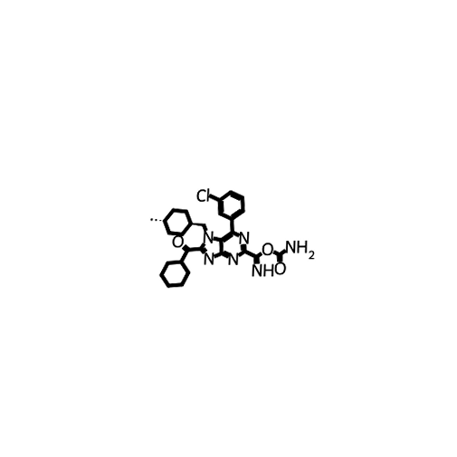 C[C@H]1CC[C@H](Cn2c(C(=O)C3CCCCC3)nc3nc(C(=N)OC(N)=O)nc(-c4cccc(Cl)c4)c32)CC1